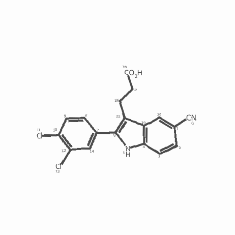 N#Cc1ccc2[nH]c(-c3ccc(Cl)c(Cl)c3)c(CCC(=O)O)c2c1